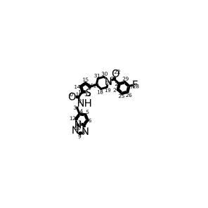 O=C(NCc1ccc2ncnn2c1)c1ccc(C2CCN(C(=O)c3cccc(F)c3)CC2)s1